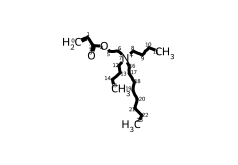 C=CC(=O)OCC[N+](CCCC)(CCCC)CCCCCCCC